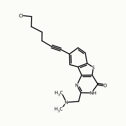 CN(C)Cc1nc2c(sc3ccc(C#CCCCCCl)cc32)c(=O)[nH]1